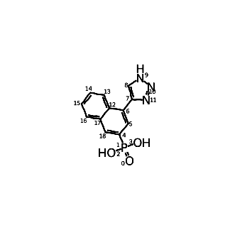 O=P(O)(O)c1cc(-c2c[nH]nn2)c2ccccc2c1